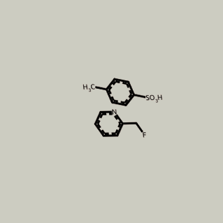 Cc1ccc(S(=O)(=O)O)cc1.FCc1ccccn1